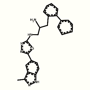 Cc1n[nH]c2ccc(-c3nnc(NCC(N)Cc4ccccc4-c4ccccc4)s3)cc12